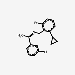 CCc1cccc(C2CC2)c1C/N=C(/C)c1cccc(Cl)c1